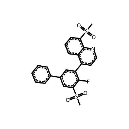 CS(=O)(=O)c1cc(-c2ccccc2)cc(-c2ccnc3c(S(C)(=O)=O)cccc23)c1F